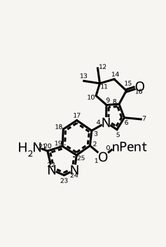 CCCCCOc1c(-n2cc(C)c3c2CC(C)(C)CC3=O)ccc2c(N)ncnc12